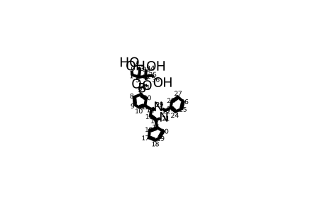 OCC1(CO)OB(c2cccc(-c3cc(-c4ccccc4)nc(-c4ccccc4)n3)c2)OC1(CO)CO